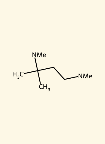 CNCCC(C)(C)NC